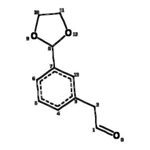 O=CCc1cccc(C2OCCO2)c1